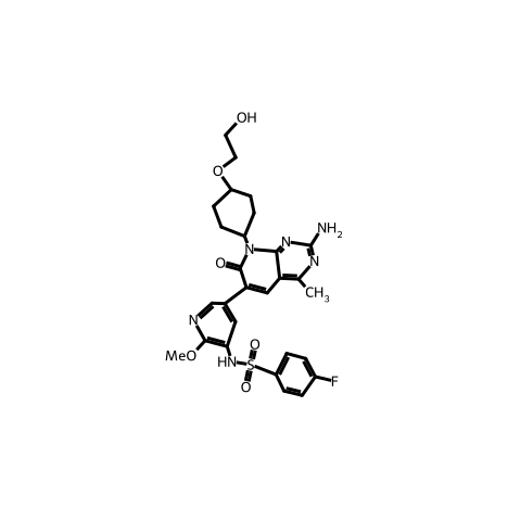 COc1ncc(-c2cc3c(C)nc(N)nc3n(C3CCC(OCCO)CC3)c2=O)cc1NS(=O)(=O)c1ccc(F)cc1